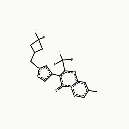 Cc1cnn2c(=O)c(-c3cnn(CC4CC(F)(F)C4)c3)c(C(F)(F)F)nc2c1